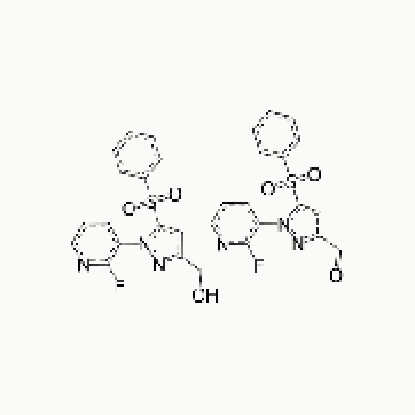 O=Cc1cc(S(=O)(=O)c2ccccc2)n(-c2cccnc2F)n1.O=S(=O)(c1ccccc1)c1cc(CO)nn1-c1cccnc1F